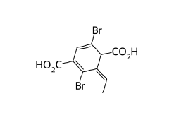 CC=C1C(Br)=C(C(=O)O)C=C(Br)C1C(=O)O